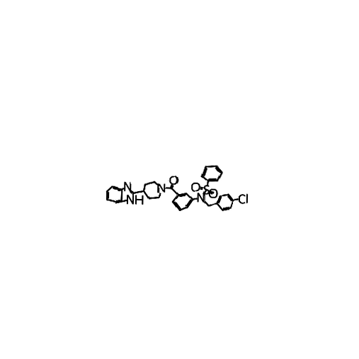 O=C(c1cccc(N(Cc2ccc(Cl)cc2)S(=O)(=O)c2ccccc2)c1)N1CCC(c2nc3ccccc3[nH]2)CC1